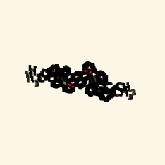 CCC(C)(C)c1cccc2c1oc1c(N(c3ccccc3-c3ccccc3)c3ccc4ccc5c(N(c6ccccc6-c6ccccc6)c6cccc7c6oc6c(C(C)(C)CC)cccc67)ccc6ccc3c4c65)cccc12